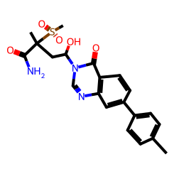 Cc1ccc(-c2ccc3c(=O)n(C(O)CC(C)(C(N)=O)S(C)(=O)=O)cnc3c2)cc1